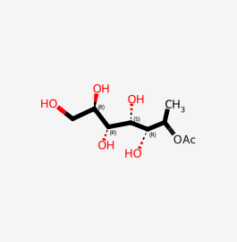 CC(=O)OC(C)[C@H](O)[C@@H](O)[C@H](O)[C@H](O)CO